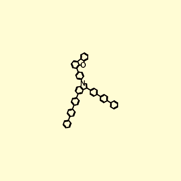 c1ccc(-c2ccc(-c3ccc(-c4ccc5c(c4)c(-c4ccc(-c6ccc(-c7ccccc7)cc6)cc4)cn5-c4ccc(-c5cccc6c5oc5ccccc56)cc4)cc3)cc2)cc1